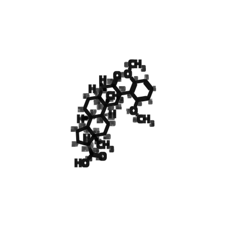 COc1cccc(OC)c1C1C[C@@]2(C)[C@@H](CC[C@@H]3[C@@H]2CC[C@]2(C)[C@@H](C(=O)O)CC[C@@H]32)NC1=O